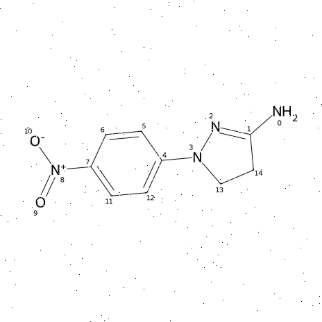 NC1=NN(c2ccc([N+](=O)[O-])cc2)CC1